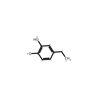 CCc1ccc([O])c(O)c1